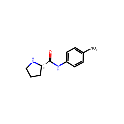 O=C(Nc1ccc([N+](=O)[O-])cc1)[C@@H]1CCCN1